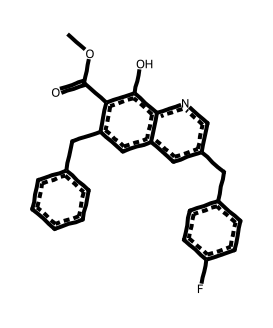 COC(=O)c1c(Cc2ccccc2)cc2cc(Cc3ccc(F)cc3)cnc2c1O